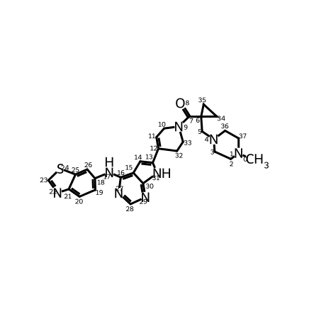 CN1CCN(CC2(C(=O)N3CC=C(c4cc5c(Nc6ccc7ncsc7c6)ncnc5[nH]4)CC3)CC2)CC1